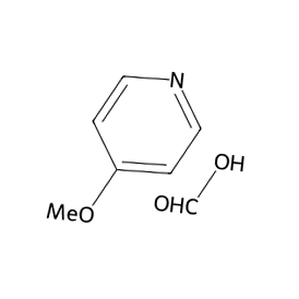 COc1ccncc1.O=CO